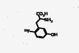 NC(Cc1cc(O)ccc1[18F])C(=O)O